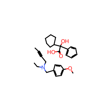 CC#CCN(CC)Cc1ccc(OC)cc1.O=C(O)C(O)(c1ccccc1)C1CCCCC1